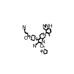 Cc1ccc2[nH]ncc2c1N1CCc2c(nc(OC[C@@H]3CCCN3C)c(C#N)c2N2CCN(C(=O)/C=C/C#N)CC2)C1